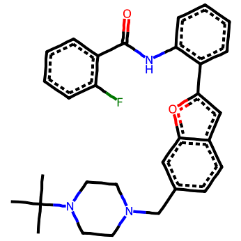 CC(C)(C)N1CCN(Cc2ccc3cc(-c4ccccc4NC(=O)c4ccccc4F)oc3c2)CC1